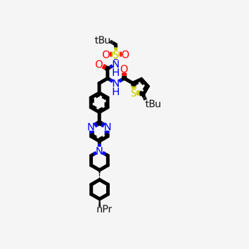 CCC[C@H]1CC[C@H](C2CCN(c3cnc(-c4ccc(CC(NC(=O)c5ccc(C(C)(C)C)s5)C(=O)NS(=O)(=O)CC(C)(C)C)cc4)nc3)CC2)CC1